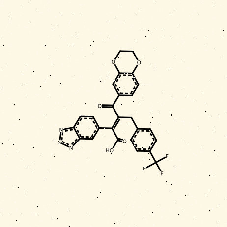 O=C(O)C(=C(Cc1ccc(C(F)(F)F)cc1)C(=O)c1ccc2c(c1)OCCO2)c1ccc2nsnc2c1